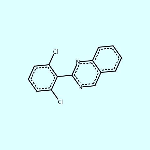 Clc1cccc(Cl)c1-c1ncc2ccccc2n1